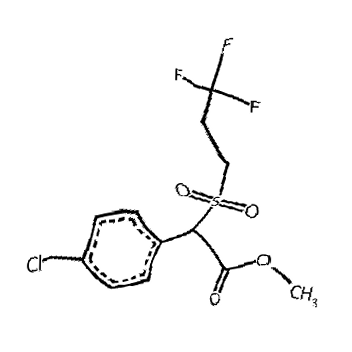 COC(=O)C(c1ccc(Cl)cc1)S(=O)(=O)CCC(F)(F)F